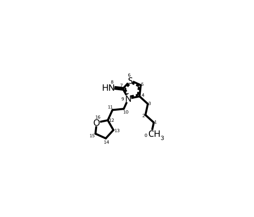 CCCCc1csc(=N)n1CCC1CCCO1